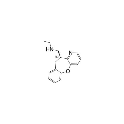 CCNC[C@@H]1Cc2ccccc2Oc2cccnc21